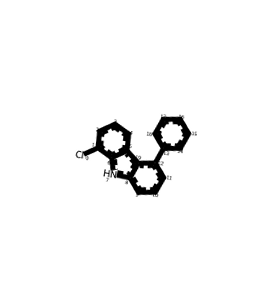 Clc1cccc2c1[nH]c1cccc(-c3ccccc3)c12